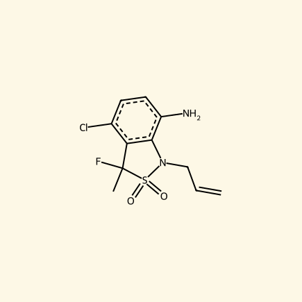 C=CCN1c2c(N)ccc(Cl)c2C(C)(F)S1(=O)=O